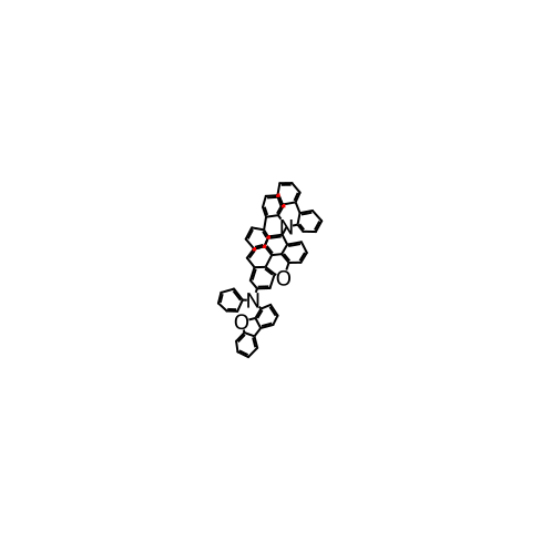 c1ccc(-c2ccccc2N(c2ccccc2-c2ccccc2)c2cc3ccc4cc(N(c5ccccc5)c5cccc6c5oc5ccccc56)cc5c4c3c3c(cccc23)O5)cc1